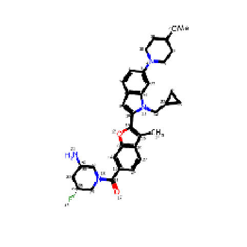 COC1CCN(c2ccc3cc(-c4oc5cc(C(=O)N6C[C@H](N)C[C@@H](F)C6)ccc5c4C)n(CC4CC4)c3c2)CC1